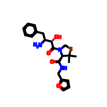 CC1(C)SCN(C(=O)[C@@H](O)[C@@H](N)Cc2ccccc2)[C@@H]1C(=O)NCc1ccco1